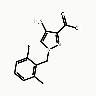 Cc1cccc(F)c1Cn1cc(N)c(C(=O)O)n1